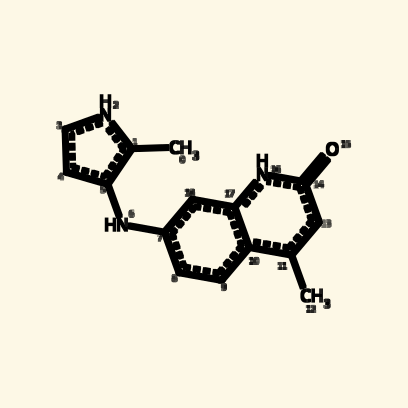 Cc1[nH]ccc1Nc1ccc2c(C)cc(=O)[nH]c2c1